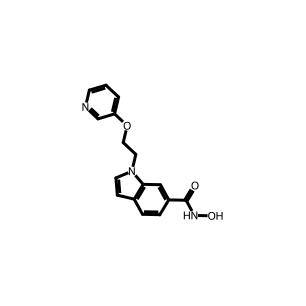 O=C(NO)c1ccc2ccn(CCOc3cccnc3)c2c1